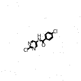 O=C(Nc1cnc(Cl)nc1)c1ccc(Cl)cc1